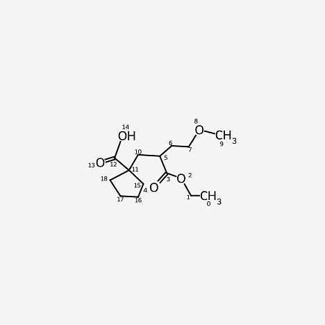 CCOC(=O)C(CCOC)CC1(C(=O)O)CCCC1